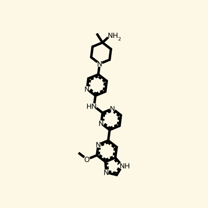 COc1nc(-c2ccnc(Nc3ccc(N4CCC(C)(N)CC4)cn3)n2)cc2[nH]cnc12